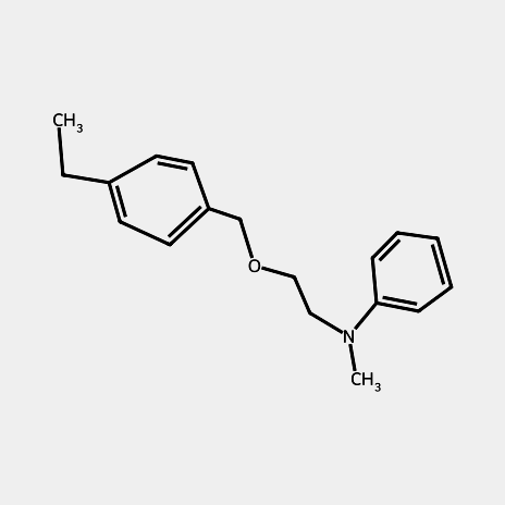 CCc1ccc(COCCN(C)c2ccccc2)cc1